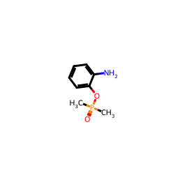 CP(C)(=O)Oc1ccccc1N